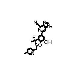 Cc1ccc(CCOc2ccc(-c3cc4c(ncn4C)c(C#N)n3)cc2C(F)(F)F)nc1.Cl